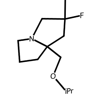 CC(C)OCC12CCCN1CC(C)(F)C2